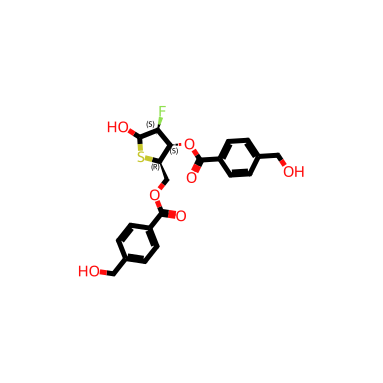 O=C(OC[C@H]1SC(O)[C@@H](F)[C@@H]1OC(=O)c1ccc(CO)cc1)c1ccc(CO)cc1